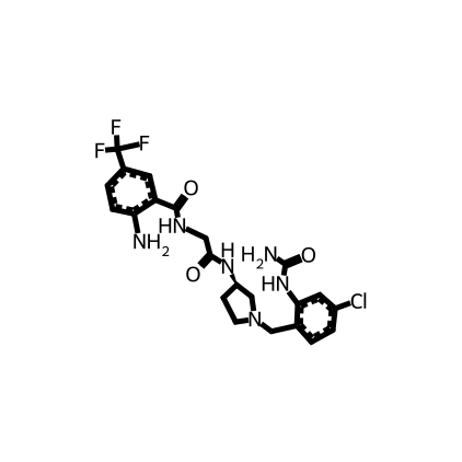 NC(=O)Nc1cc(Cl)ccc1CN1CC[C@@H](NC(=O)CNC(=O)c2cc(C(F)(F)F)ccc2N)C1